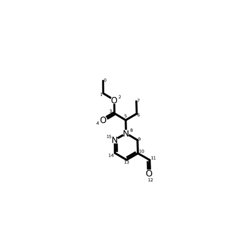 CCOC(=O)C(CC)N1CC(C=O)=CC=N1